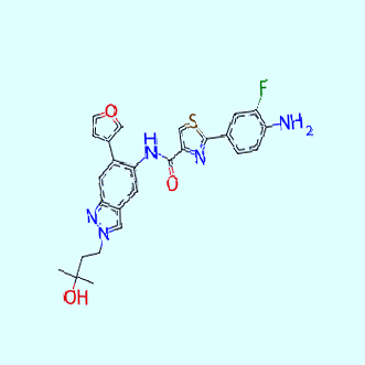 CC(C)(O)CCn1cc2cc(NC(=O)c3csc(-c4ccc(N)c(F)c4)n3)c(-c3ccoc3)cc2n1